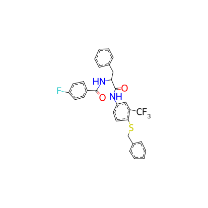 O=C(NC(Cc1ccccc1)C(=O)Nc1ccc(SCc2ccccc2)c(C(F)(F)F)c1)c1ccc(F)cc1